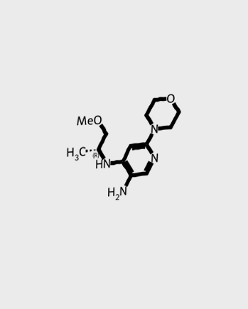 COC[C@@H](C)Nc1cc(N2CCOCC2)ncc1N